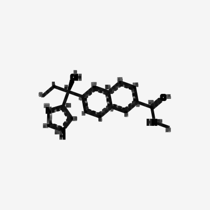 CC[C@](O)(c1ccc2cc(C(=O)NC)ccc2c1)c1c[nH]cn1